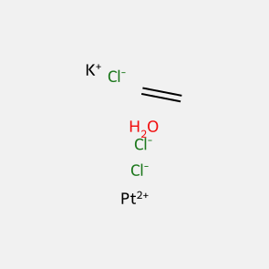 C=C.O.[Cl-].[Cl-].[Cl-].[K+].[Pt+2]